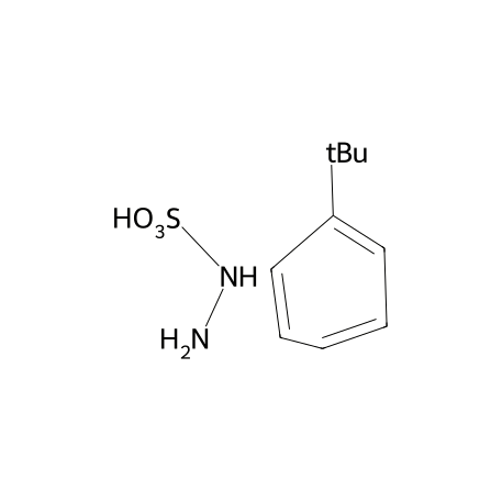 CC(C)(C)c1ccccc1.NNS(=O)(=O)O